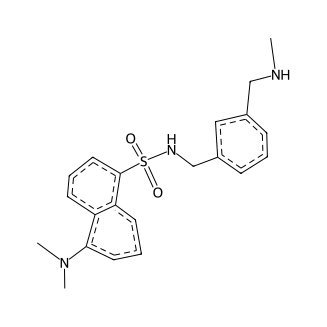 CNCc1cccc(CNS(=O)(=O)c2cccc3c(N(C)C)cccc23)c1